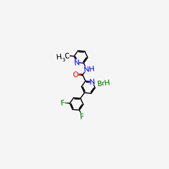 Br.Cc1cccc(NC(=O)c2cc(-c3cc(F)cc(F)c3)ccn2)n1